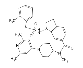 Cc1cc(N2CCC(N(C)C(=O)c3ccc4c(c3)C(NS(=O)(=O)Cc3ccccc3C(F)(F)F)CC4)CC2)cc(C)n1